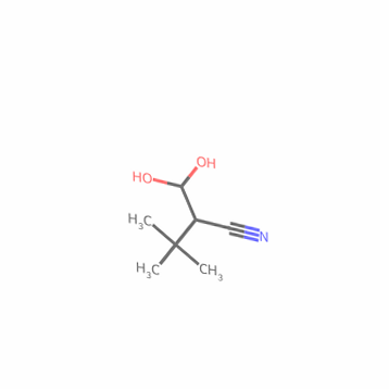 CC(C)(C)C(C#N)C(O)O